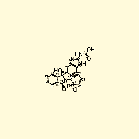 O=C(O)Nc1nc2cc(C3(O)c4ccccc4C(=O)N3C3C=CC=CC3(F)Cl)ccc2[nH]1